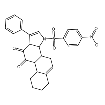 O=C1C(=O)C2C3CCCCC3=CCC2C2C1C(c1ccccc1)=CN2S(=O)(=O)c1ccc([N+](=O)[O-])cc1